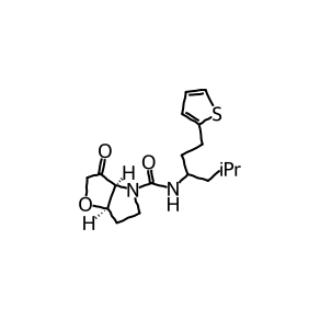 CC(C)CC(CCc1cccs1)NC(=O)N1CC[C@H]2OCC(=O)[C@H]21